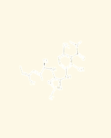 C/C=C(\C=C(/C)[C@@H](CC)Nc1n[s+]([O-])nc1Nc1ccc(C(F)(F)F)c(C(=O)N(C)C)c1O)C(C)C